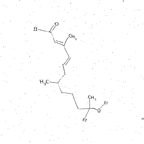 CCOC(C)(CC)CCCC(C)CC=CC(C)=CC(=O)CC